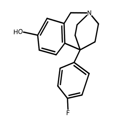 Oc1ccc2c(c1)CN1CCC2(c2ccc(F)cc2)CC1